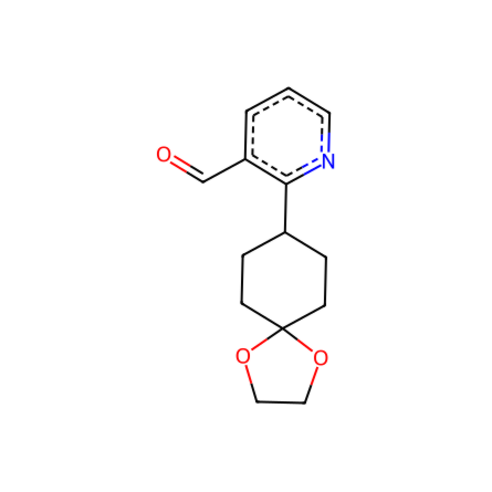 O=Cc1cccnc1C1CCC2(CC1)OCCO2